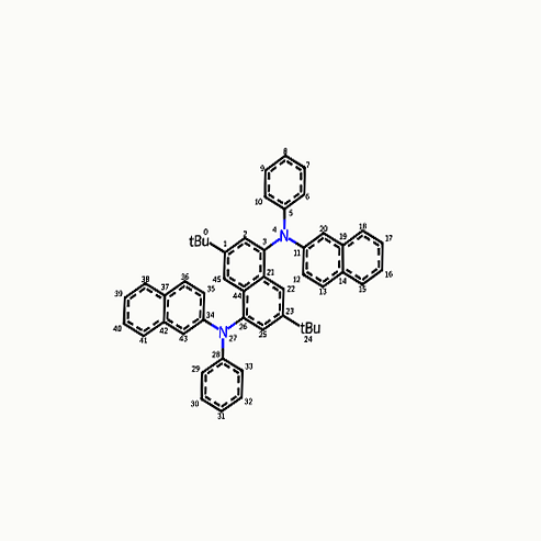 CC(C)(C)c1cc(N(c2ccccc2)c2ccc3ccccc3c2)c2cc(C(C)(C)C)cc(N(c3ccccc3)c3ccc4ccccc4c3)c2c1